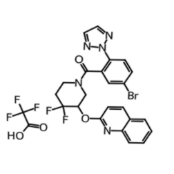 O=C(O)C(F)(F)F.O=C(c1cc(Br)ccc1-n1nccn1)N1CCC(F)(F)C(Oc2ccc3ccccc3n2)C1